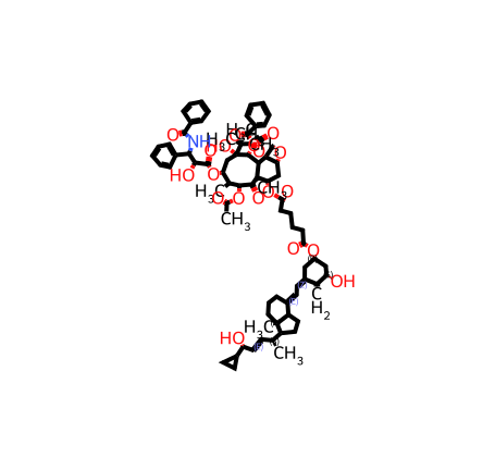 C=C1/C(=C\C=C2/CCC[C@@]3(C)C2CCC3[C@@H](C)/C=C/C(O)C2CC2)C[C@@H](OC(=O)CCCCC(=O)OC2CC3OCC3(OC(C)=O)C3C(OC(=O)c4ccccc4)C(O)(C(C)(C)C)CC(OC(=O)C(O)C(NC(=O)c4ccccc4)c4ccccc4)C(C)C(OC(C)=O)C(=O)C23C)C[C@@H]1O